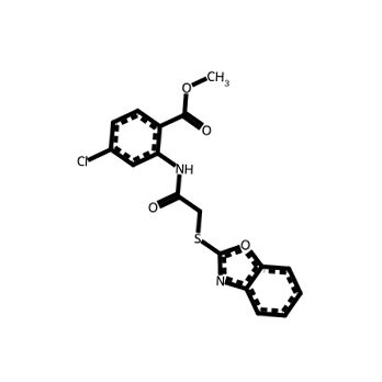 COC(=O)c1ccc(Cl)cc1NC(=O)CSc1nc2ccccc2o1